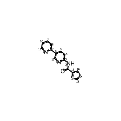 O=C(Nc1ccc(-c2ccccn2)cn1)c1cncs1